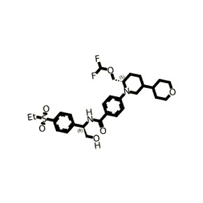 CCS(=O)(=O)c1ccc([C@H](CO)NC(=O)c2ccc(N3CC(C4CCOCC4)CC[C@H]3COC(F)F)cc2)cc1